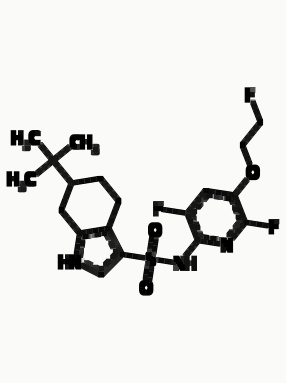 CC(C)(C)C1CCc2c(S(=O)(=O)Nc3nc(F)c(OCCF)cc3F)c[nH]c2C1